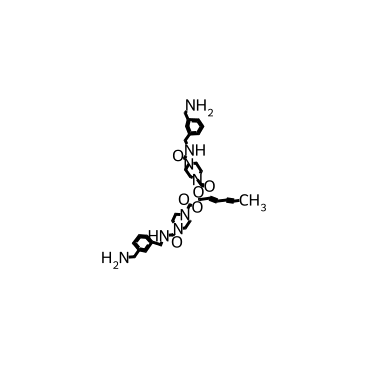 CC#CC#CC(OC(=O)N1CCN(C(=O)NCc2cccc(CN)c2)CC1)OC(=O)N1CCN(C(=O)NCc2cccc(CN)c2)CC1